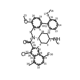 CN[C@H]1CC[C@H](N(Cc2cc(-c3ccccc3SC)ccc2OC)C(=O)c2sc3c(F)ccc(C)c3c2Cl)CC1